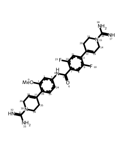 COc1cc(NC(=O)c2cc(F)c(C3=CCN(C(=N)N)CC3)cc2F)ccc1C1=CCN(C(=N)N)CC1